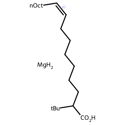 CCCCCCCC/C=C\CCCCCCC(C(=O)O)C(C)(C)C.[MgH2]